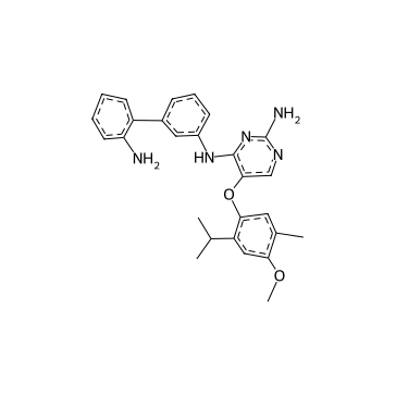 COc1cc(C(C)C)c(Oc2cnc(N)nc2Nc2cccc(-c3ccccc3N)c2)cc1C